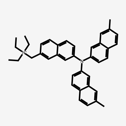 CC[N+](CC)(CC)Cc1ccc2ccc(N(c3ccc4ccc(C)cc4c3)c3ccc4ccc(C)cc4c3)cc2c1